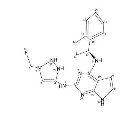 FCN1C=C(Nc2nc(N[C@H]3CCc4ccccc43)c3cc[nH]c3n2)NN1